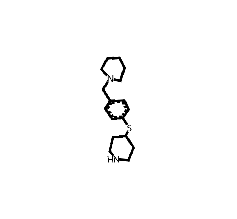 c1cc(SC2CCNCC2)ccc1CN1CCCCC1